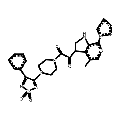 O=C(C(=O)N1CCN(C2=NS(=O)(=O)N=C2c2ccccc2)CC1)C1CNc2c(-n3ccnn3)ncc(F)c21